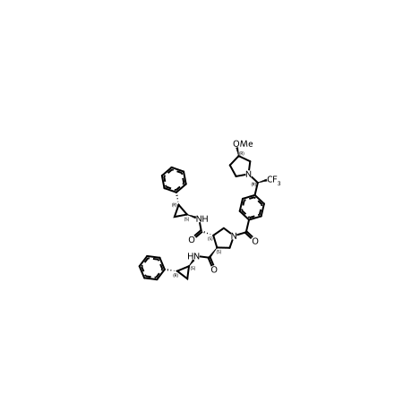 CO[C@@H]1CCN([C@H](c2ccc(C(=O)N3C[C@@H](C(=O)N[C@H]4C[C@@H]4c4ccccc4)[C@H](C(=O)N[C@H]4C[C@@H]4c4ccccc4)C3)cc2)C(F)(F)F)C1